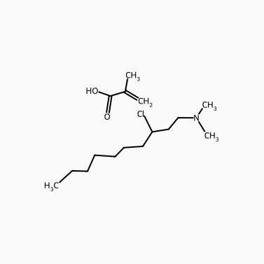 C=C(C)C(=O)O.CCCCCCCC(Cl)CCN(C)C